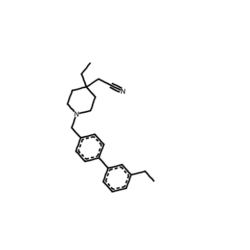 CCc1cccc(-c2ccc(CN3CCC(CC)(CC#N)CC3)cc2)c1